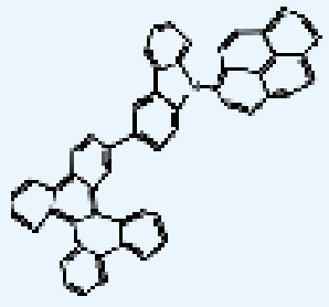 c1cc2ccc3ccc(-n4c5ccccc5c5cc(-c6ccc7c8ccccc8c8c9ccccc9c9ccccc9c8c7c6)ccc54)c4ccc(c1)c2c34